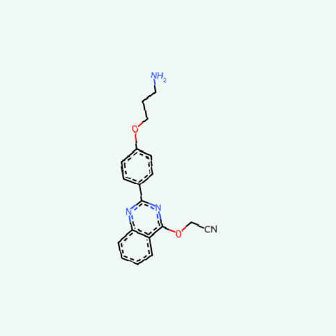 N#CCOc1nc(-c2ccc(OCCCN)cc2)nc2ccccc12